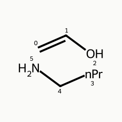 C=CO.CCCCN